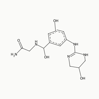 NC(=O)CNC(O)c1cc(O)cc(NC2=NCC(O)CN2)c1